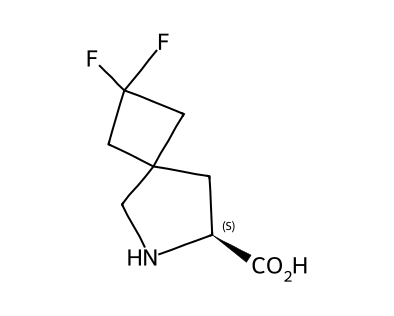 O=C(O)[C@@H]1CC2(CN1)CC(F)(F)C2